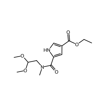 CCOC(=O)c1c[nH]c(C(=O)N(C)CC(OC)OC)c1